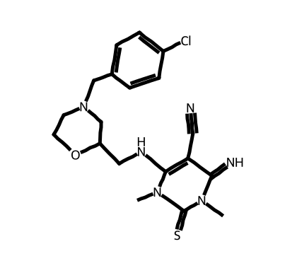 Cn1c(NCC2CN(Cc3ccc(Cl)cc3)CCO2)c(C#N)c(=N)n(C)c1=S